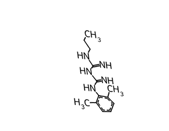 CCCNC(=N)NC(=N)Nc1c(C)cccc1C